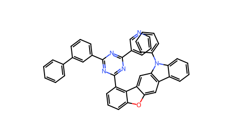 c1ccc(-c2cccc(-c3nc(-c4cccnc4)nc(-c4cccc5oc6cc7c8ccccc8n(-c8ccccc8)c7cc6c45)n3)c2)cc1